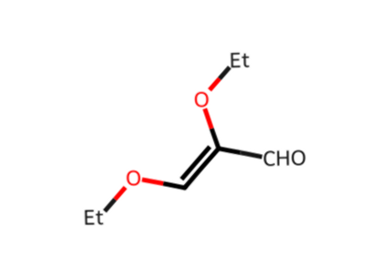 CCOC=C(C=O)OCC